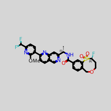 COc1nc(C(F)F)ccc1-c1ccc2cnc([C@H](C)NC(=O)c3ccc4c(c3)S(=O)(=O)[C@@H](F)CCOC4)cc2n1